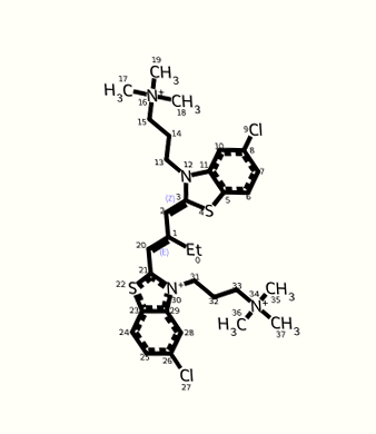 CCC(/C=C1\Sc2ccc(Cl)cc2N1CCC[N+](C)(C)C)=C\c1sc2ccc(Cl)cc2[n+]1CCC[N+](C)(C)C